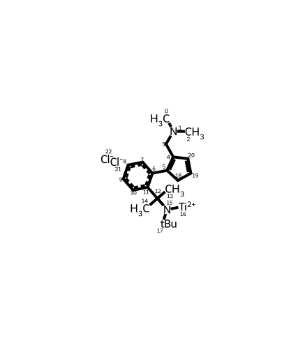 CN(C)CC1=C(c2ccccc2C(C)(C)[N]([Ti+2])C(C)(C)C)CC=C1.[Cl-].[Cl-]